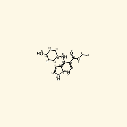 CCOC(=O)c1cnc2[nH]ccc2c1NC1CCC(O)CC1